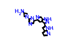 NC1CN(c2cncc(-c3cc4c(-c5cc6cccnc6[nH]5)n[nH]c4cn3)n2)C1